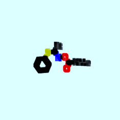 CCC(=NOC(=O)NC)Sc1ccccc1